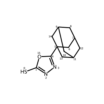 Sc1nnc(C23CC4CC(CC(C4)C2)C3)o1